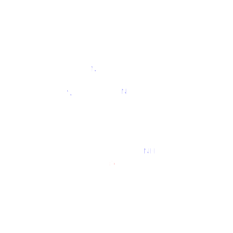 O=c1cc2c(c[nH]1)CCCN2c1cnc[nH]1